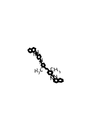 Cc1cc(N=Nc2ccc(-n3nc4ccc5ccccc5c4n3)cc2)ccc1C=Cc1ccc(-n2nc3ccc4ccccc4c3n2)cc1C